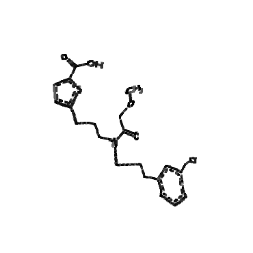 COCC(=O)N(CCCc1cccc(Cl)c1)CCCc1ccc(C(=O)O)s1